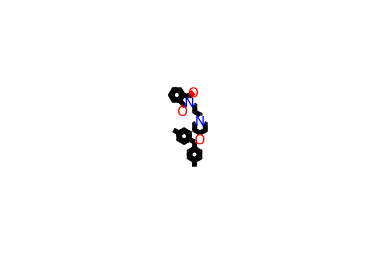 Cc1ccc(C(OC2CCN(CCCN3C(=O)c4ccccc4C3=O)CC2)c2ccc(C)cc2)cc1